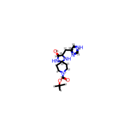 CC(C)(C)OC(=O)N1CCC2(CC1)NC(=O)C(Cc1c[nH]cn1)N2